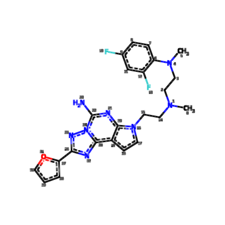 CN(CCN(C)c1ccc(F)cc1F)CCn1ccc2c1nc(N)n1nc(-c3ccco3)nc21